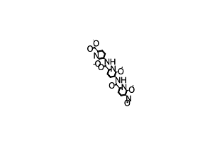 COC(=O)c1ccc(NC(=O)c2ccc(NC(=O)c3ccc(N=O)c(OC)n3)c(OC)n2)c(OC)n1